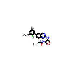 C=CC(=O)N[C@H]1COC[C@H]1Nc1ncc2cc(-c3cc(CC)cc(OC)c3Cl)ccc2n1